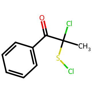 CC(Cl)(SCl)C(=O)c1ccccc1